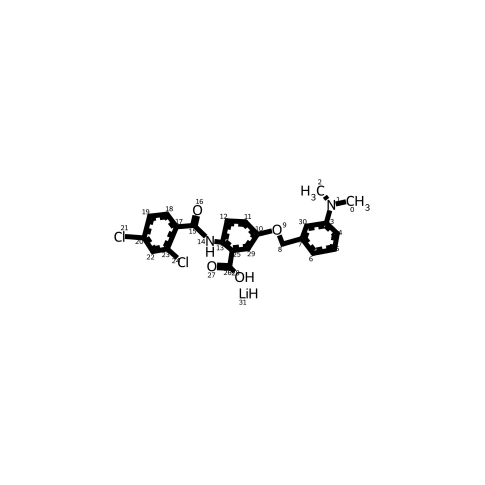 CN(C)c1cccc(COc2ccc(NC(=O)c3ccc(Cl)cc3Cl)c(C(=O)O)c2)c1.[LiH]